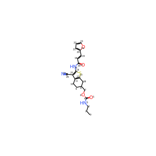 CCCNC(=O)OCC1CCc2c(sc(NC(=O)C=Cc3ccco3)c2C#N)C1